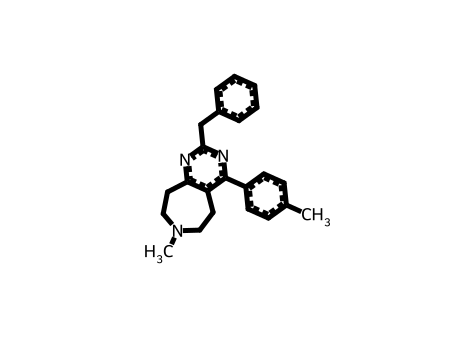 Cc1ccc(-c2nc(Cc3ccccc3)nc3c2CCN(C)CC3)cc1